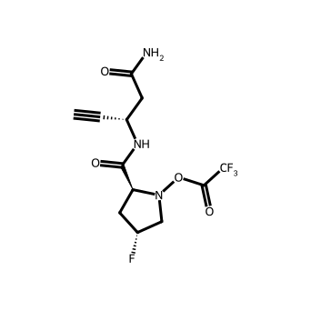 C#C[C@H](CC(N)=O)NC(=O)[C@@H]1C[C@@H](F)CN1OC(=O)C(F)(F)F